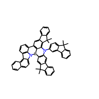 CC1(C)c2ccccc2-c2cc(N3c4cc5c(cc4B4c6c(cc7c(c63)C(C)(C)c3ccccc3-7)-c3cccc6c7c8ccccc8ccc7n4c36)C(C)(C)c3ccccc3-5)ccc21